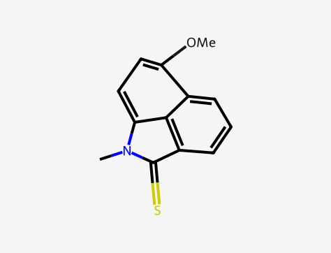 COc1ccc2c3c(cccc13)C(=S)N2C